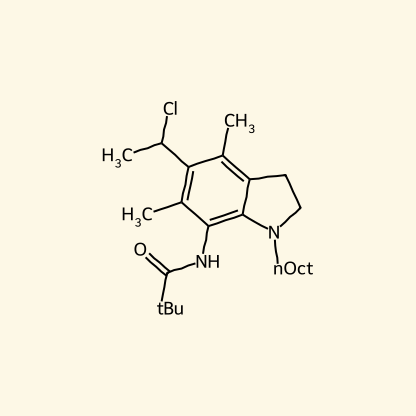 CCCCCCCCN1CCc2c(C)c(C(C)Cl)c(C)c(NC(=O)C(C)(C)C)c21